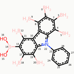 Bc1c(B)c(B)c2c(c1B)c1c(B)c(B(O)O)c(B)c(B)c1n2-c1ccccc1